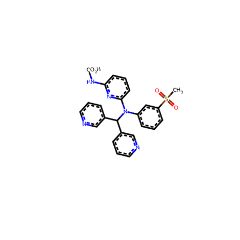 CS(=O)(=O)c1cccc(N(c2cccc(NC(=O)O)n2)C(c2cccnc2)c2cccnc2)c1